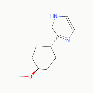 CO[C@H]1CC[C@H](C2=NC=CNC2)CC1